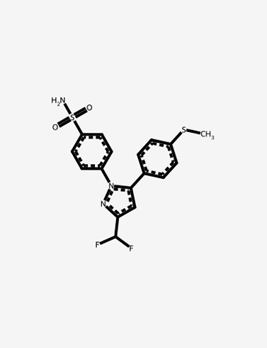 CSc1ccc(-c2cc(C(F)F)nn2-c2ccc(S(N)(=O)=O)cc2)cc1